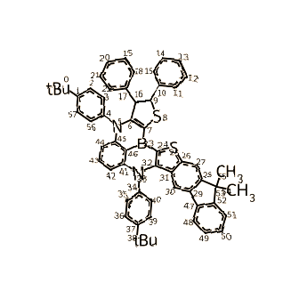 CC(C)(C)c1ccc(N2C3=C(SC(c4ccccc4)C3c3ccccc3)B3c4sc5cc6c(cc5c4N(c4ccc(C(C)(C)C)cc4)c4cccc2c43)-c2ccccc2C6(C)C)cc1